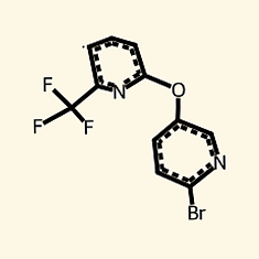 FC(F)(F)c1[c]ccc(Oc2ccc(Br)nc2)n1